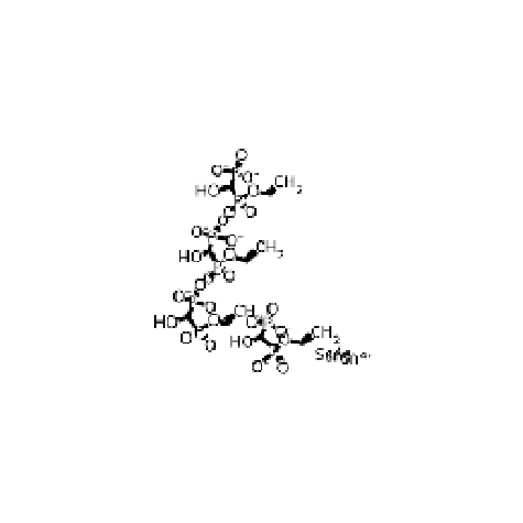 C=COP(=O)([O-])C(O)P(=O)([O-])[O-].C=COP(=O)([O-])C(O)P(=O)([O-])[O-].C=COP(=O)([O-])C(O)P(=O)([O-])[O-].C=COP(=O)([O-])C(O)P(=O)([O-])[O-].[Sn+4].[Sn+4].[Sn+4]